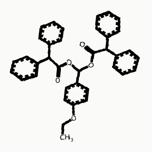 CCOc1ccc(C(OC(=O)C(c2ccccc2)c2ccccc2)OC(=O)C(c2ccccc2)c2ccccc2)cc1